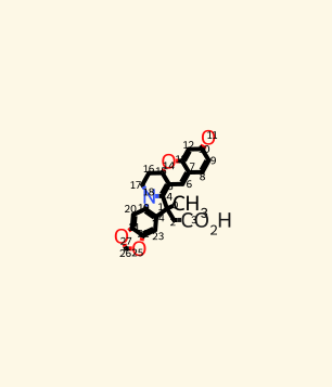 CC1(CC(=O)O)C2=C3C=C4C=CC(=O)C=C4OC3CCN2c2cc3c(cc21)OCO3